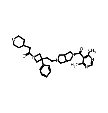 Cc1ncnc(C)c1C(=O)N1CC2CN(CCC3(c4ccccc4)CN(C(=O)CC4CCOCC4)C3)CC2C1